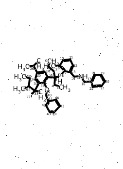 CCCC(CC)(Pc1c(C)cccc1CNCc1ccccc1)c1cc(C(C)C)cc(C(C)(I)C(C)CC)c1OCc1ccccc1